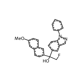 COc1ccc2cc(C(O)(CF)c3ccc4c(cnn4-c4ccccc4)c3)ccc2c1